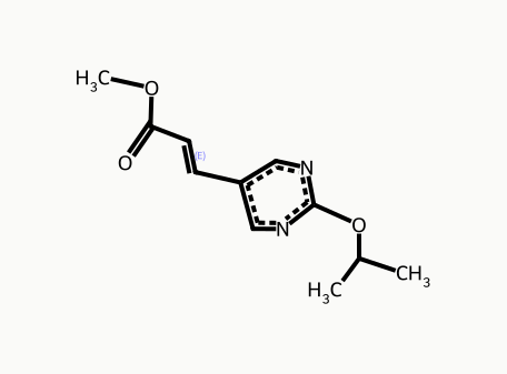 COC(=O)/C=C/c1cnc(OC(C)C)nc1